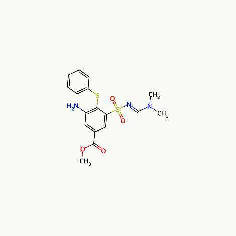 COC(=O)c1cc(N)c(Sc2ccccc2)c(S(=O)(=O)N=CN(C)C)c1